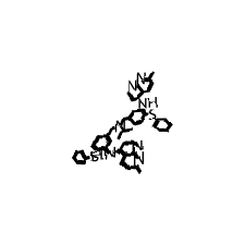 Cc1ccc2c(Nc3cc(CN(Cc4ccc(Sc5ccccc5)c(Nc5ccnc6nc(C)ccc56)c4)C(C)C)ccc3Sc3ccccc3)ccnc2n1